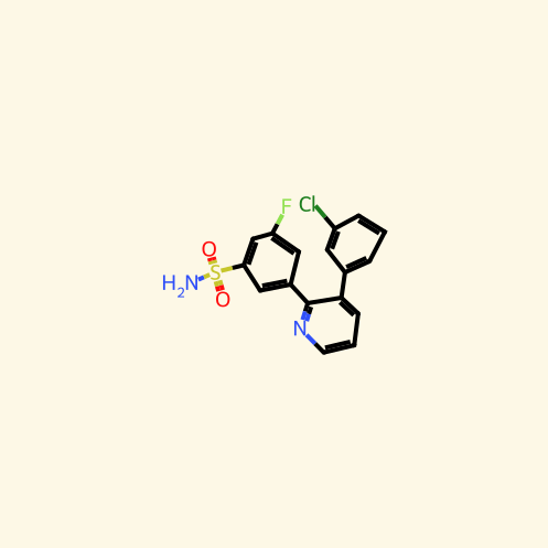 NS(=O)(=O)c1cc(F)cc(-c2ncccc2-c2cccc(Cl)c2)c1